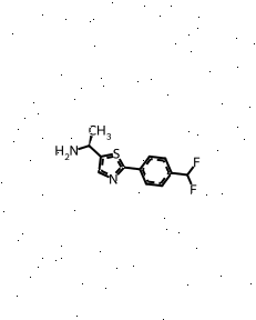 C[C@H](N)c1cnc(-c2ccc(C(F)F)cc2)s1